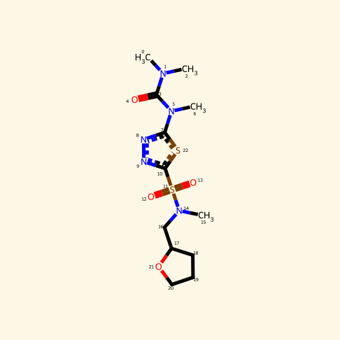 CN(C)C(=O)N(C)c1nnc(S(=O)(=O)N(C)CC2CCCO2)s1